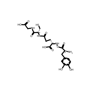 N[C@@H](Cc1ccc(O)c(O)c1)C(=O)ON[C@@H](CCC(=O)N[C@@H](CS)C(=O)NCC(=O)O)C(=O)O